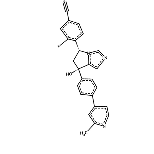 Cc1cc(-c2ccc([C@@]3(O)C[C@H](c4ccc(C#N)cc4F)n4cncc43)cc2)ccn1